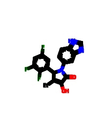 CCC1=C(O)C(=O)N(c2ccc3[nH]cnc3c2)C1c1cc(F)cc(F)c1F